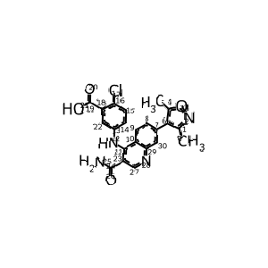 Cc1noc(C)c1-c1ccc2c(Nc3ccc(Cl)c(C(=O)O)c3)c(C(N)=O)cnc2c1